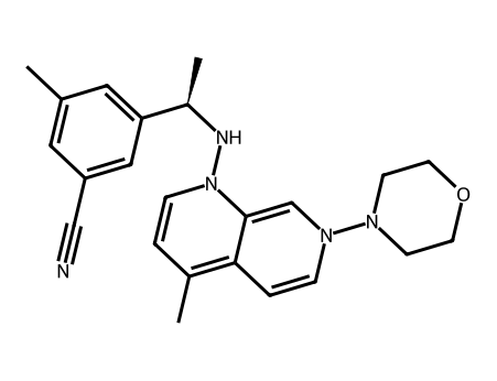 CC1=C2C=CN(N3CCOCC3)C=C2N(N[C@H](C)c2cc(C)cc(C#N)c2)C=C1